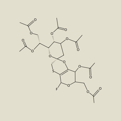 CC(=O)OCC1OC(F)C2=C(O[C@]3(CS2)CC(OC(C)=O)[C@@H](OC(C)=O)[C@@H]([C@@H](COC(C)=O)OC(C)=O)O3)C1OC(C)=O